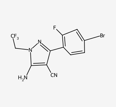 N#Cc1c(-c2ccc(Br)cc2F)nn(CC(F)(F)F)c1N